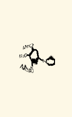 COc1cc(-n2cccc2)cc(OC)c1OC